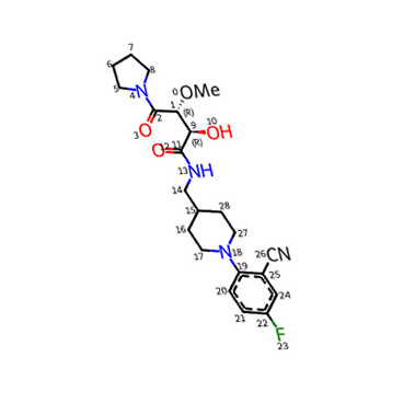 CO[C@@H](C(=O)N1CCCC1)[C@@H](O)C(=O)NCC1CCN(c2ccc(F)cc2C#N)CC1